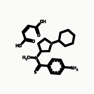 CN(C(=S)c1ccc(N)cc1)C1CCN(C2CCCCC2)C1.O=C(O)/C=C\C(=O)O